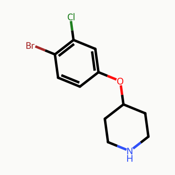 Clc1cc(OC2CCNCC2)ccc1Br